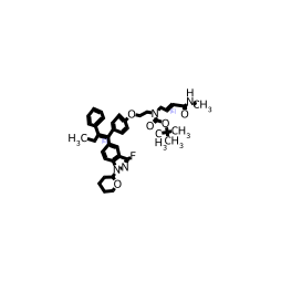 CC/C(=C(/c1ccc(OCCN(C/C=C/C(=O)NC)C(=O)OC(C)(C)C)cc1)c1ccc2c(c1)c(F)nn2C1CCCCO1)c1ccccc1